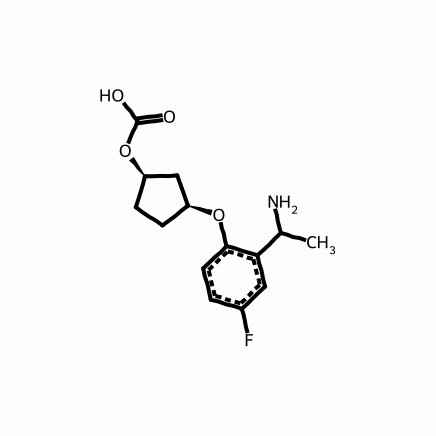 CC(N)c1cc(F)ccc1O[C@H]1CC[C@@H](OC(=O)O)C1